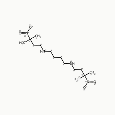 CC(C)(CCNCCCCNCCC(C)(C)[N+](=O)[O-])[N+](=O)[O-]